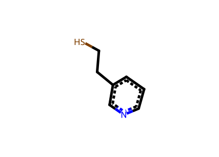 SCCc1cccnc1